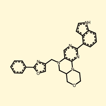 c1ccc(-c2nc(CN3CC4COCCN4c4nc(-c5cccc6[nH]ccc56)ncc43)co2)cc1